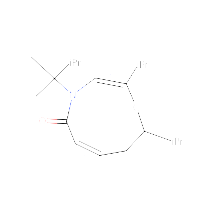 CC(C)/C1=C/N(C(C)(C)C(C)C)C(=O)/C=C\CC(C(C)C)C1